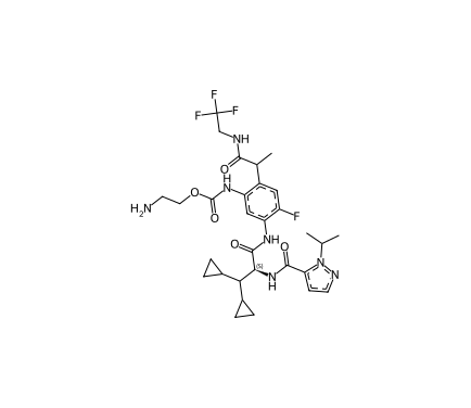 CC(C(=O)NCC(F)(F)F)c1cc(F)c(NC(=O)[C@@H](NC(=O)c2ccnn2C(C)C)C(C2CC2)C2CC2)cc1NC(=O)OCCN